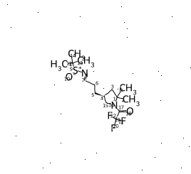 CC1(C)C[C@H](CC/C=N/[S+]([O-])C(C)(C)C)CN1C(=O)C(F)(F)F